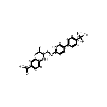 CC(C)[C@@H](COc1ccc(-c2ccc(C(F)(F)F)cc2)cn1)Nc1ccc(C(=O)O)cc1